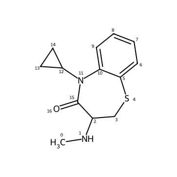 CNC1CSc2ccccc2N(C2CC2)C1=O